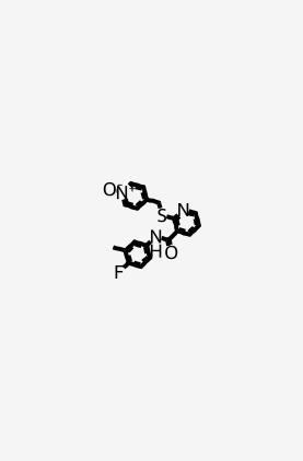 Cc1cc(NC(=O)c2cccnc2SCc2cc[n+]([O-])cc2)ccc1F